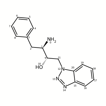 N[C@H](Cc1ccccc1)[C@@H](O)Cn1nnc2ccccc21